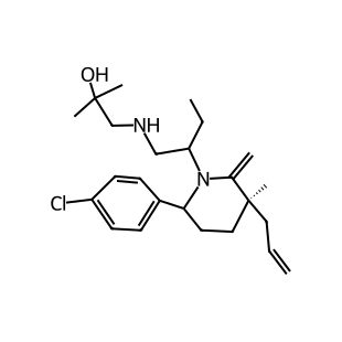 C=CC[C@@]1(C)CCC(c2ccc(Cl)cc2)N(C(CC)CNCC(C)(C)O)C1=C